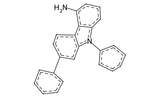 Nc1cccc2c1c1ccc(-c3ccccc3)cc1n2-c1ccccc1